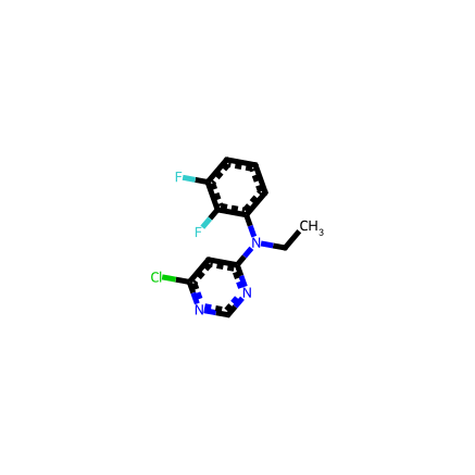 CCN(c1cc(Cl)ncn1)c1cccc(F)c1F